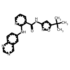 CC(C)(C)c1cc(NC(=O)c2cccnc2Nc2ccc3ncncc3c2)no1